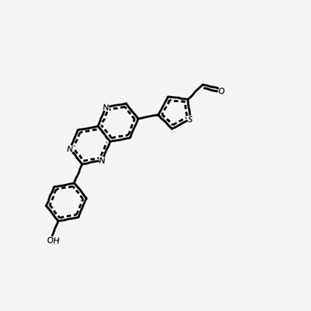 O=Cc1cc(-c2cnc3cnc(-c4ccc(O)cc4)nc3c2)cs1